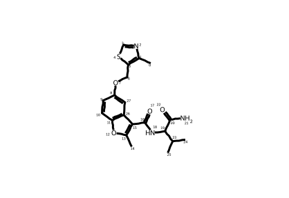 Cc1ncsc1COc1ccc2oc(C)c(C(=O)NC(C(N)=O)C(C)C)c2c1